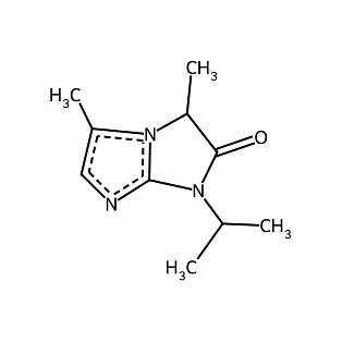 Cc1cnc2n1C(C)C(=O)N2C(C)C